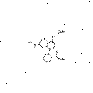 CCCN(C)C(=O)Cc1c(Br)c(OCOC)cc(OCOC)c1-c1ccccc1